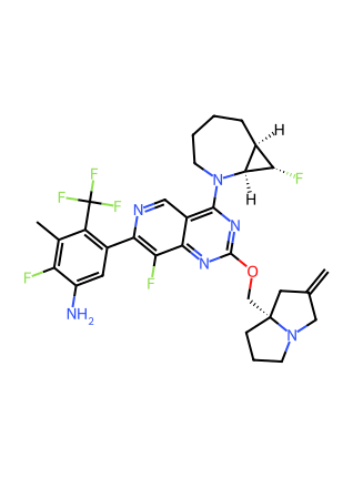 C=C1CN2CCC[C@@]2(COc2nc(N3CCCC[C@H]4[C@H](F)[C@H]43)c3cnc(-c4cc(N)c(F)c(C)c4C(F)(F)F)c(F)c3n2)C1